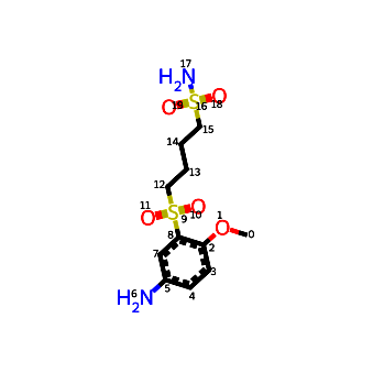 COc1ccc(N)cc1S(=O)(=O)CCCCS(N)(=O)=O